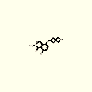 Cn1ncc2c(OC3CC4(CNC4)C3)ccc(Cl)c2c1=O